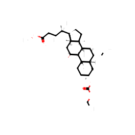 CCOC(=O)O[C@@H]1CC[C@]2(C)[C@@H]3[C@@H]([C@H](O)[C@H](CC)[C@@H]2C1)[C@@H]1CC[C@H]([C@H](C)CCC(=O)OC)[C@@]1(C)C[C@@H]3O